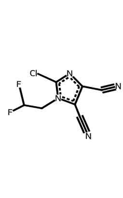 N#Cc1nc(Cl)n(CC(F)F)c1C#N